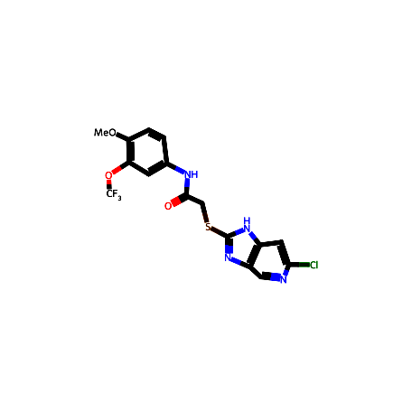 COc1ccc(NC(=O)CSc2nc3cnc(Cl)cc3[nH]2)cc1OC(F)(F)F